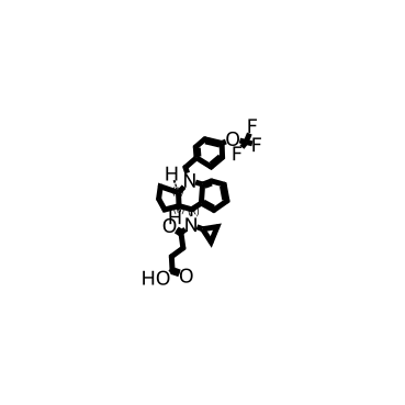 O=C(O)CCC(=O)N(C1CC1)[C@H]1c2ccccc2N(Cc2ccc(OC(F)(F)F)cc2)[C@@H]2CCC[C@@H]21